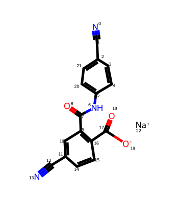 N#Cc1ccc(NC(=O)c2cc(C#N)ccc2C(=O)[O-])cc1.[Na+]